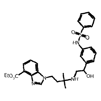 CCOC(=O)c1cccc2c1ncn2CCC(C)(C)NCC(O)c1cccc(NS(=O)(=O)c2ccccc2)c1